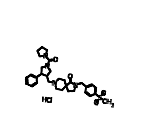 CS(=O)(=O)c1ccc(CN2CCC3(CCN(CC4CN(C(=O)N5CCCC5)CC4c4ccccc4)CC3)C2=O)cc1.Cl